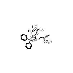 CC(C)N(CC[C@@H](CO[Si](C)(C)C(C)(C)C)O[Si](c1ccccc1)(c1ccccc1)C(C)(C)C)C(=O)O